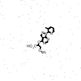 Cc1cccnc1-n1ncc2c(OC(COC(C)C)C(=O)O)ncnc21